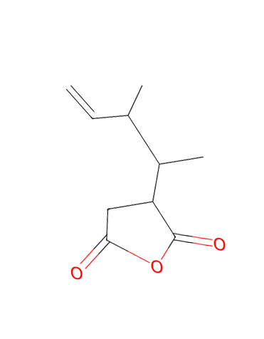 C=CC(C)C(C)C1CC(=O)OC1=O